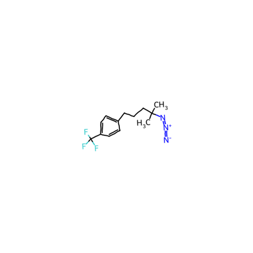 CC(C)(CCCc1ccc(C(F)(F)F)cc1)N=[N+]=[N-]